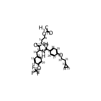 CC(=O)OCCNC(=O)C(Cc1ccc(OC(F)(F)F)cc1)NC(=O)c1ccc(OCCC2CC2)cc1